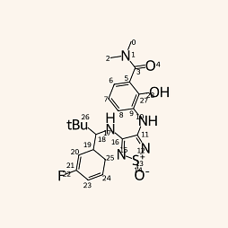 CN(C)C(=O)c1cccc(Nc2n[s+]([O-])nc2NC(C2C=C(F)C=CC2)C(C)(C)C)c1O